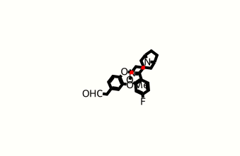 COc1cc(CC=O)ccc1OCCCN1C2CCC1CC(c1noc3cc(F)ccc13)C2